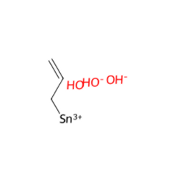 C=C[CH2][Sn+3].[OH-].[OH-].[OH-]